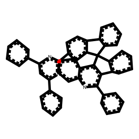 c1ccc(-c2cc(-c3ccccc3)nc(-c3ccc4c(c3)C3(c5ccccc5-4)c4ccccc4-c4c(-c5ccccc5)nc5ccccc5c43)n2)cc1